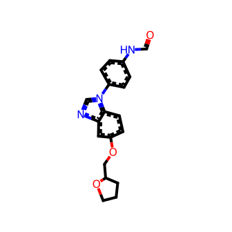 O=CNc1ccc(-n2cnc3cc(OCC4CCCO4)ccc32)cc1